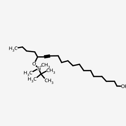 CCCCC(C#CCCCCCCCCCCCCO)O[Si](C)(C)C(C)(C)C